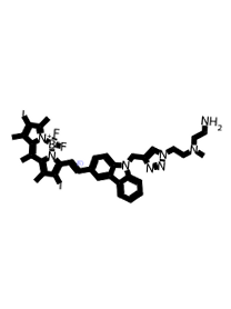 CC1=C(I)C(C)=[N+]2C1=C(C)c1c(C)c(I)c(/C=C/c3ccc4c(c3)c3ccccc3n4Cc3cn(CCN(C)CCN)nn3)n1[B-]2(F)F